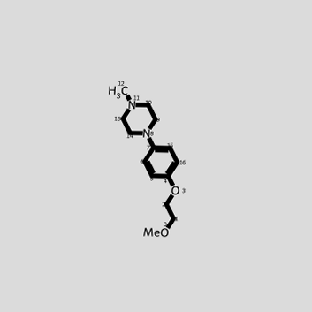 COCCOc1ccc(N2CCN(C)CC2)cc1